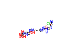 CC[C@@]1(O)C(=O)OCc2c1cc1n(c2=O)Cc2cc3c(CN4CCN(CCCCCCC5CCN(c6ccc(C(=O)NC7CCC(N(C)c8ccc(C#N)c(Cl)c8)CC7)nn6)CC5)CC4)c(O)ccc3nc2-1